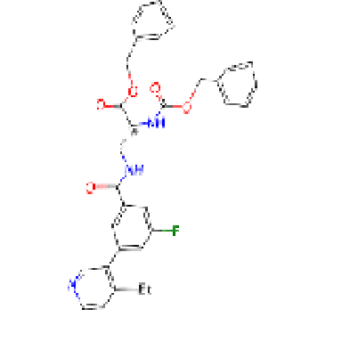 CCc1ccncc1-c1cc(F)cc(C(=O)NC[C@@H](NC(=O)OCc2ccccc2)C(=O)OCc2ccccc2)c1